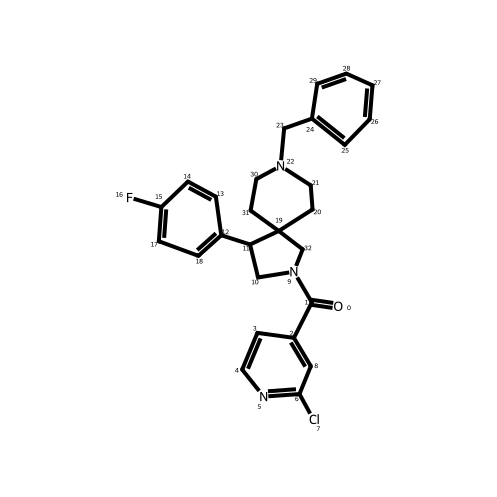 O=C(c1ccnc(Cl)c1)N1CC(c2ccc(F)cc2)C2(CCN(Cc3ccccc3)CC2)C1